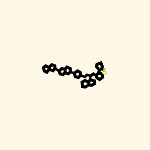 C(=C(\CCc1ccc(-c2ccc3cc(-c4ccc5ccccc5c4)ccc3c2)cc1)c1cccc2ccccc12)/c1cccc2sc3ccccc3c12